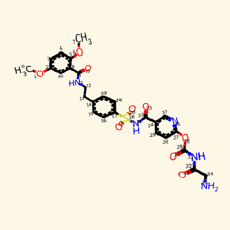 COc1ccc(OC)c(C(=O)NCCc2ccc(S(=O)(=O)NC(=O)c3ccc(OC(=O)NC(=O)CN)nc3)cc2)c1